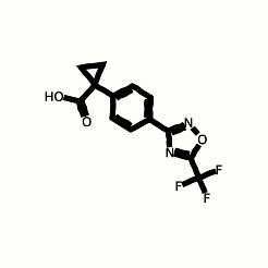 O=C(O)C1(c2ccc(-c3noc(C(F)(F)F)n3)cc2)CC1